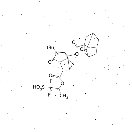 CC(OC(=O)C1C2SC3C1C(=O)N(C(C)(C)C)C3C2OC(=O)C12CC3CC(C1)C(=O)C(C3)C2)C(F)(F)S(=O)(=O)O